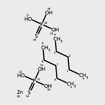 CCCCC.CCCCC.OP(O)(O)=S.OP(O)(O)=S.[Zn]